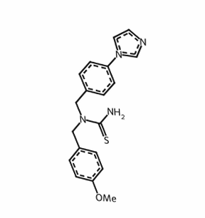 COc1ccc(CN(Cc2ccc(-n3ccnc3)cc2)C(N)=S)cc1